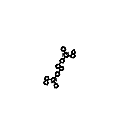 c1ccc(-c2nc(-c3ccc(-c4cccc5c(-c6ccc(-c7cc(-c8cccc9ccccc89)nc(-c8ccccc8)n7)cc6)cccc45)cc3)cc(-c3cccc4ccccc34)n2)cc1